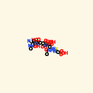 Cc1c(N=Nc2cc3c(O)c(N=Nc4cc(NC(=O)c5ccccc5)c(N=Nc5nc6ccc(S(=O)(=O)O)cc6s5)cc4S(=O)(=O)O)c(S(=O)(=O)O)cc3cc2S(=O)(=O)O)c(O)n2c(nc3ccccc32)c1C#N